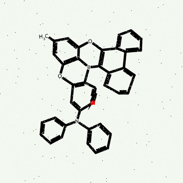 Cc1cc2c3c(c1)Oc1c(c4ccccc4c4ccccc14)B3c1c(cc(N(c3ccccc3)c3ccccc3)c3ccccc13)O2